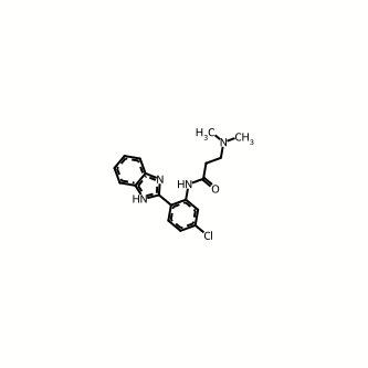 CN(C)CCC(=O)Nc1cc(Cl)ccc1-c1nc2ccccc2[nH]1